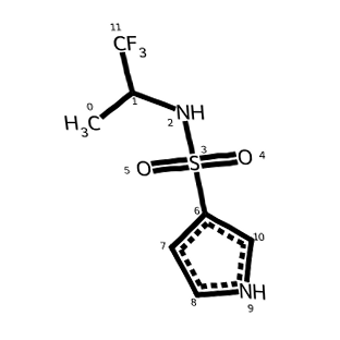 CC(NS(=O)(=O)c1cc[nH]c1)C(F)(F)F